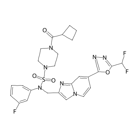 O=C(C1CCC1)N1CCN(S(=O)(=O)N(Cc2cn3ccc(-c4nnc(C(F)F)o4)cc3n2)c2cccc(F)c2)CC1